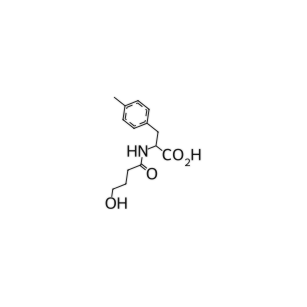 Cc1ccc(CC(NC(=O)CCCO)C(=O)O)cc1